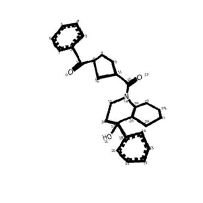 O=C(c1ccccc1)C1CCC(C(=O)N2CCC(O)(c3ccccc3)C3CCCCC32)C1